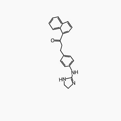 O=C(CCc1ccc(NC2=NCCN2)cc1)c1cccc2ccccc12